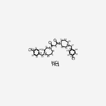 Cl.Cl.O=C(CC(=O)N1CCCN(Cc2ccc(Cl)cc2)CC1)N1CCCN(Cc2ccc(Cl)cc2)CC1